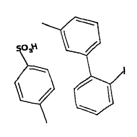 Cc1ccc(S(=O)(=O)O)cc1.Cc1cccc(-c2ccccc2I)c1